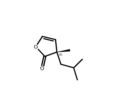 CC(C)C[C@@]1(C)C=COC1=O